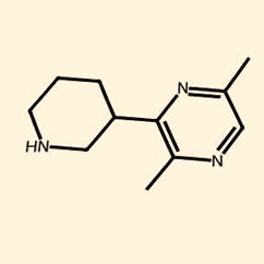 Cc1cnc(C)c(C2CCCNC2)n1